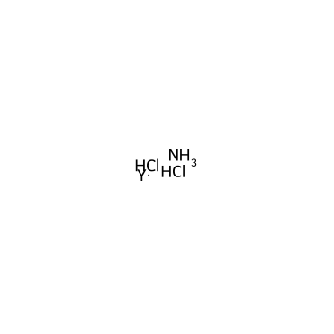 Cl.Cl.N.[Y]